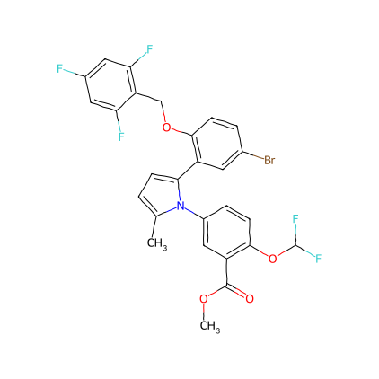 COC(=O)c1cc(-n2c(C)ccc2-c2cc(Br)ccc2OCc2c(F)cc(F)cc2F)ccc1OC(F)F